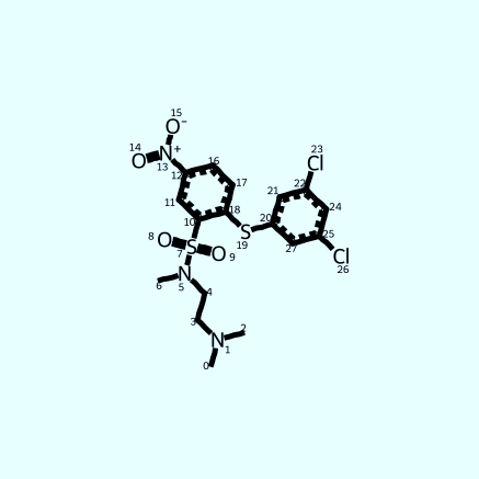 CN(C)CCN(C)S(=O)(=O)c1cc([N+](=O)[O-])ccc1Sc1cc(Cl)cc(Cl)c1